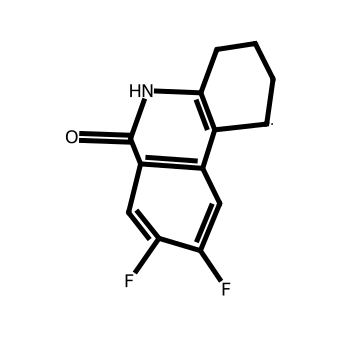 O=c1[nH]c2c(c3cc(F)c(F)cc13)[CH]CCC2